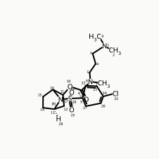 CN(C)CCCN(C)C(=O)OC1C[C@H]2CCC1N2S(=O)(=O)c1ccc(Cl)cc1